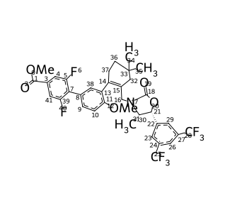 COC(=O)c1cc(F)c(-c2ccc(OC)c(C3=C(CN4C(=O)O[C@H](c5cc(C(F)(F)F)cc(C(F)(F)F)c5)[C@@H]4C)CC(C)(C)CC3)c2)c(F)c1